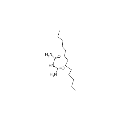 CCCCCCCCCCCCC.NC(=O)NC(N)=O